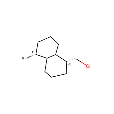 CC(=O)[C@@H]1CCCC2C1CCC[C@H]2CO